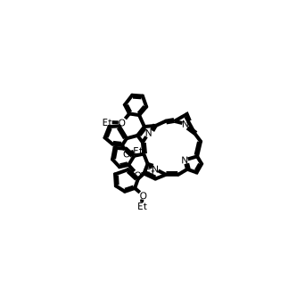 CCOc1ccccc1C1=CC2=CC3=NC(=CC4=NC(=CC5=NC(=C(c6ccccc6OCC)C1=N2)C(c1ccccc1OCC)=C5c1ccccc1OCC)C=C4)C=C3